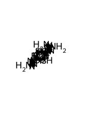 C=P1(S)OC[C@H]2O[C@@H](n3cnc4c(N)nc(N)nc43)[C@H](F)[C@@H]2OP(=C)(S)OC[C@@H]2O[C@H](n3cnc4c(N)ncnc43)[C@H](F)[C@H]2O1